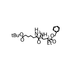 CCN(CCN(N)C(=O)[C@@H](N)CCCCC(=O)OC(C)(C)C)C(=O)OCc1ccccc1